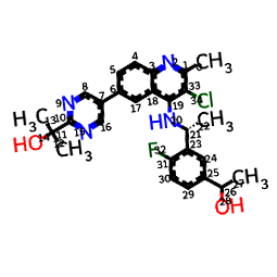 Cc1nc2ccc(-c3cnc(C(C)(C)O)nc3)cc2c(N[C@H](C)c2cc(C(C)O)ccc2F)c1Cl